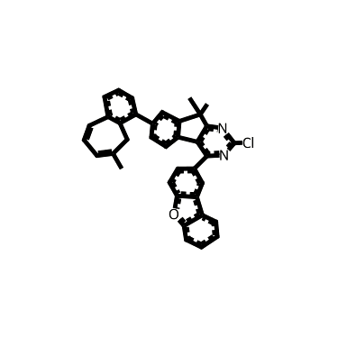 CC1=CC=Cc2cccc(-c3ccc4c(c3)C(C)(C)c3nc(Cl)nc(-c5ccc6oc7ccccc7c6c5)c3-4)c2C1